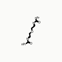 CCCC(=O)N=CCOCC=NC(=O)CCC